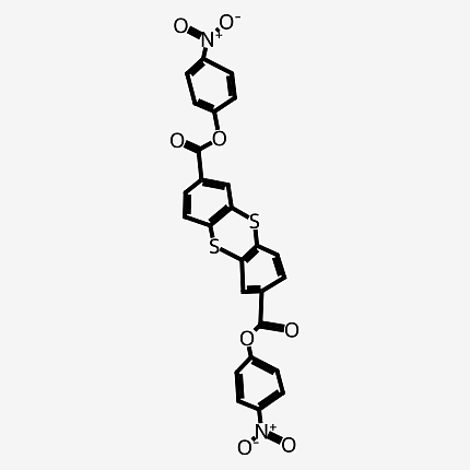 O=C(Oc1ccc([N+](=O)[O-])cc1)c1ccc2c(c1)Sc1ccc(C(=O)Oc3ccc([N+](=O)[O-])cc3)cc1S2